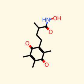 CC1=C(C)C(=O)C(CCC(C)C(=O)NO)=C(C)C1=O